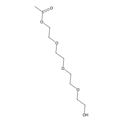 CS(=O)OCCOCCOCCOCCO